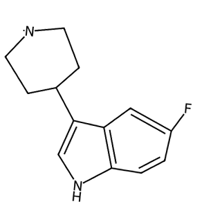 Fc1ccc2[nH]cc(C3CC[N]CC3)c2c1